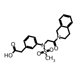 CS(=O)(=O)N(CC(=O)N1CCc2ccccc2C1)c1cccc(CC(=O)O)c1